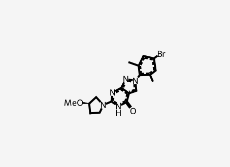 CO[C@@H]1CCN(c2nc3nn(-c4c(C)cc(Br)cc4C)cc3c(=O)[nH]2)C1